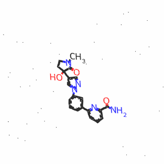 CN1CCC(O)(c2cnn(-c3cccc(-c4cccc(C(N)=O)n4)c3)c2)C1=O